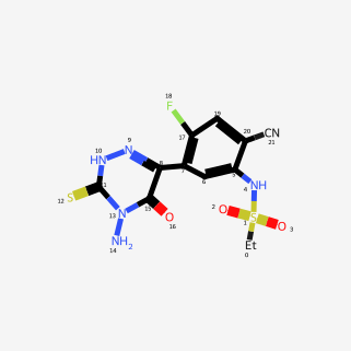 CCS(=O)(=O)Nc1cc(-c2n[nH]c(=S)n(N)c2=O)c(F)cc1C#N